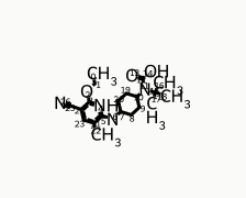 CCOc1nc(NC2CCC(N(C(=O)O)C(C)(C)C)CC2)c(C)cc1C#N